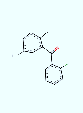 Cc1ccc(C)c(C(=O)c2ccccc2Cl)c1